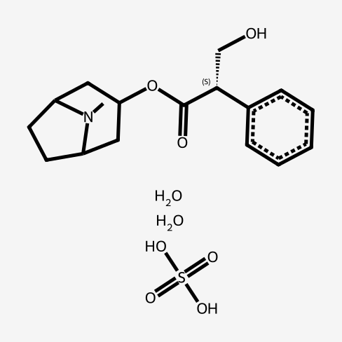 CN1C2CCC1CC(OC(=O)[C@H](CO)c1ccccc1)C2.O.O.O=S(=O)(O)O